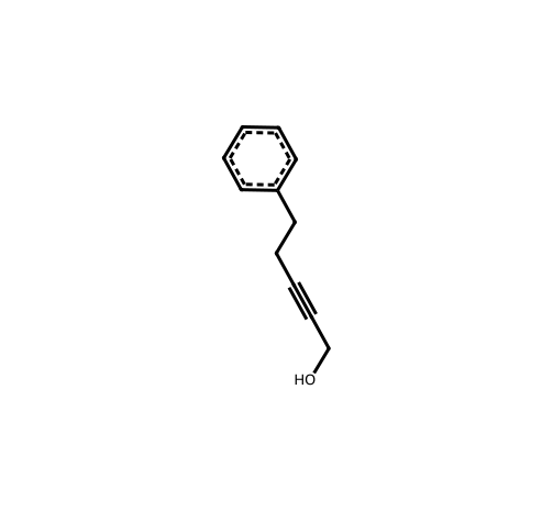 OCC#CCCc1ccccc1